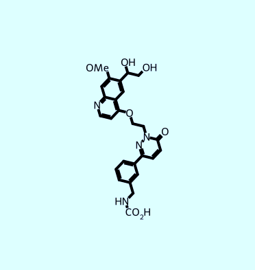 COc1cc2nccc(OCCn3nc(-c4cccc(CNC(=O)O)c4)ccc3=O)c2cc1C(O)CO